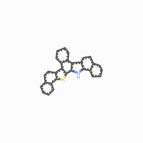 c1ccc2c(c1)ccc1c2[nH]c2c3sc4c5ccccc5ccc4c3c3ccccc3c12